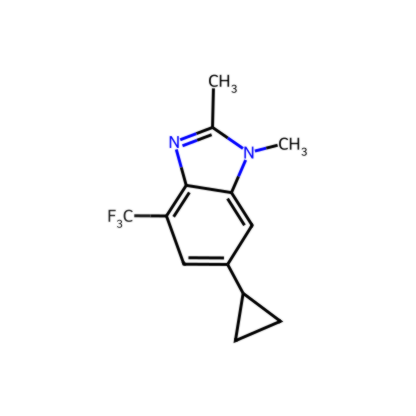 Cc1nc2c(C(F)(F)F)cc(C3CC3)cc2n1C